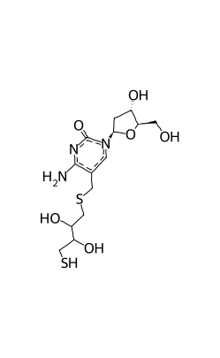 Nc1nc(=O)n([C@H]2C[C@H](O)[C@@H](CO)O2)cc1CSCC(O)C(O)CS